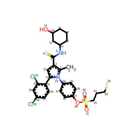 Cc1c(C(=S)NC2CCCC(O)C2)cc(-c2ccc(Cl)cc2Cl)n1-c1ccc(OS(=O)(=O)CCCF)cc1